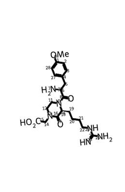 COc1ccc(C[C@H](N)C(=O)N2CCN(CC(=O)O)C(=O)[C@@H]2CCCCNC(=N)N)cc1